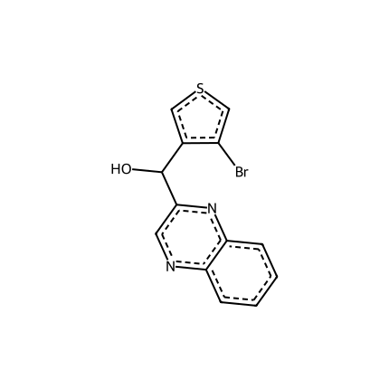 OC(c1cnc2ccccc2n1)c1cscc1Br